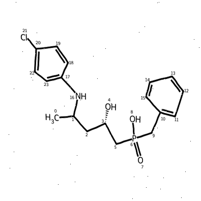 CC(C[C@H](O)CP(=O)(O)Cc1ccccc1)Nc1ccc(Cl)cc1